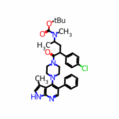 Cc1c[nH]c2ncc(-c3ccccc3)c(N3CCN(C(=O)C(CC(C)N(C)C(=O)OC(C)(C)C)c4ccc(Cl)cc4)CC3)c12